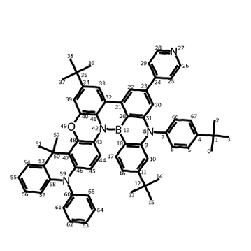 CC(C)(C)c1ccc(N2c3cc(C(C)(C)C)ccc3B3c4c(cc(-c5ccncc5)cc42)-c2cc(C(C)(C)C)cc4c2N3c2ccc3c(c2O4)C(C)(C)c2ccccc2N3c2ccccc2)cc1